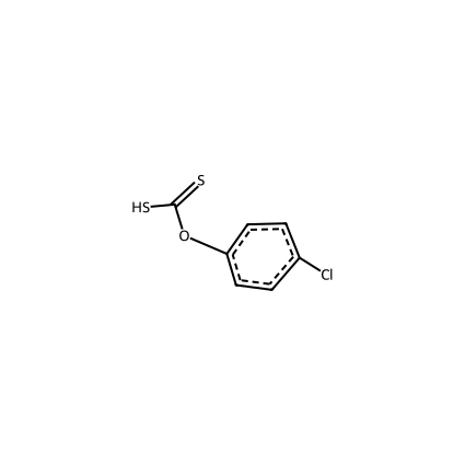 S=C(S)Oc1ccc(Cl)cc1